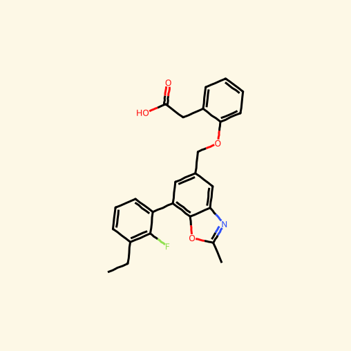 CCc1cccc(-c2cc(COc3ccccc3CC(=O)O)cc3nc(C)oc23)c1F